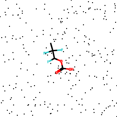 CC(F)(F)C(F)OC(=O)O